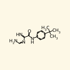 CC(C)(C)c1ccc(NC(=O)C(=N)/N=C\N)cc1